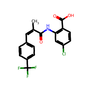 CC(=Cc1ccc(C(F)(F)F)cc1)C(=O)Nc1cc(Cl)ccc1C(=O)O